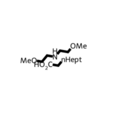 CCCCCCCCC(=O)O.COCCNCCOC